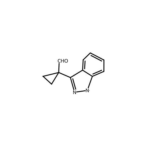 O=CC1(C2=N[N]c3ccccc32)CC1